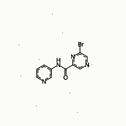 O=C(Nc1cccnc1)c1cncc(Br)n1